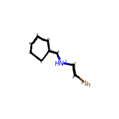 SCCNCC1CCCCC1